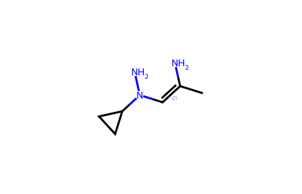 C/C(N)=C/N(N)C1CC1